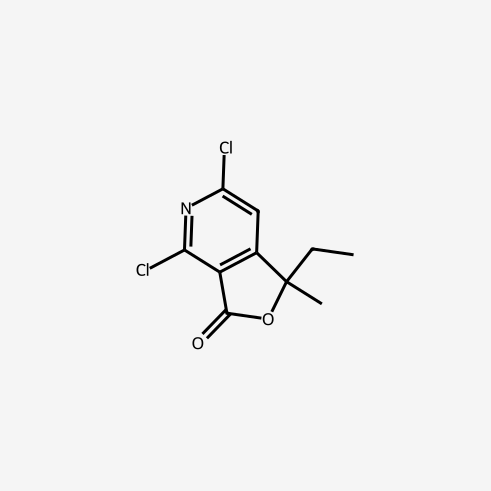 CCC1(C)OC(=O)c2c1cc(Cl)nc2Cl